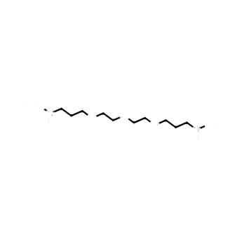 CC(C)(C)NCCCOCCOCCOCCCNC=O